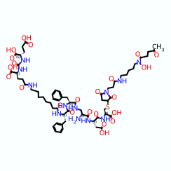 CC(=O)CCC(=O)N(O)CCCCCNC(=O)CCN1C(=O)CC(SC[C@H](NC(=O)[C@H](CC(=O)O)NC(=O)[C@@H](N)CNC(=O)[C@H](Cc2ccccc2)NC(=O)[C@H](Cc2ccccc2)NC(=O)CCCCCCCNC(=O)CC[C@H](NC(=O)N[C@@H](CCC(=O)O)C(=O)O)C(=O)O)C(=O)O)C1=O